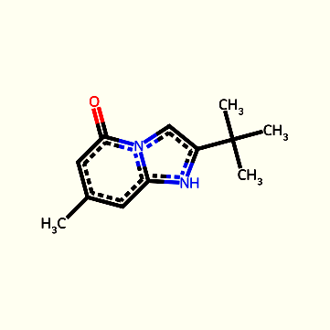 Cc1cc(=O)n2cc(C(C)(C)C)[nH]c2c1